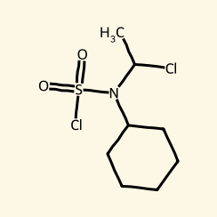 CC(Cl)N(C1CCCCC1)S(=O)(=O)Cl